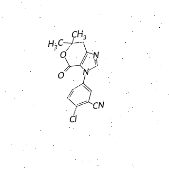 CC1(C)Cc2ncn(-c3ccc(Cl)c(C#N)c3)c2C(=O)O1